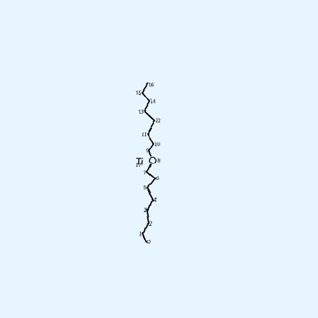 CCCCCCCCOCCCCCCCC.[Ti]